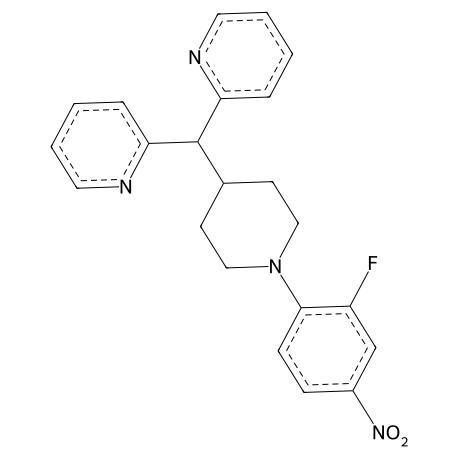 O=[N+]([O-])c1ccc(N2CCC(C(c3ccccn3)c3ccccn3)CC2)c(F)c1